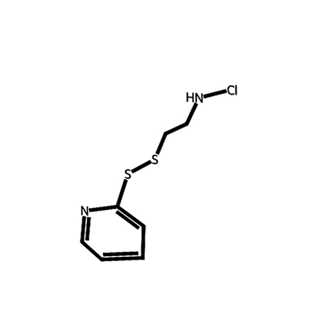 ClNCCSSc1ccccn1